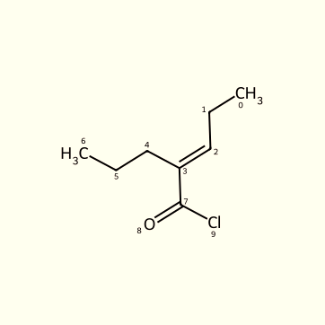 CC/C=C(\CCC)C(=O)Cl